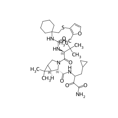 Cc1occc1SCC1(NC(=O)N[C@H](C(=O)N2CC3[C@@H]([C@H]2C(=O)NC(CC2CC2)C(=O)C(N)=O)C3(C)C)C(C)(C)C)CCCCC1